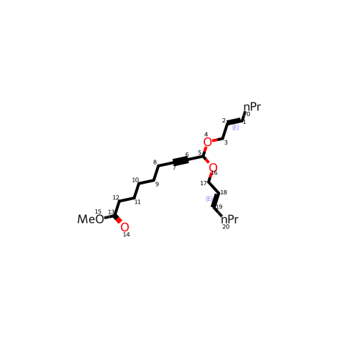 CCC/C=C/COC(C#CCCCCCC(=O)OC)OC/C=C/CCC